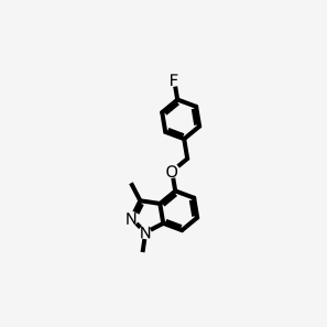 Cc1nn(C)c2cccc(OCc3ccc(F)cc3)c12